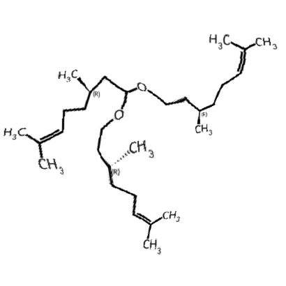 CC(C)=CCC[C@@H](C)CCOC(C[C@H](C)CCC=C(C)C)OCC[C@H](C)CCC=C(C)C